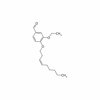 CCCCC/C=C\CCOc1ccc(C=O)cc1OCC